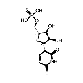 O=C1N=CC([C@@H]2O[C@H](COP(O)(O)=S)C(O)C2O)C(=O)N1